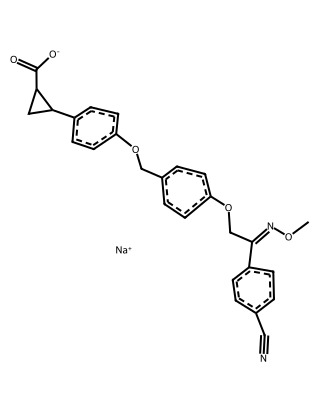 CON=C(COc1ccc(COc2ccc(C3CC3C(=O)[O-])cc2)cc1)c1ccc(C#N)cc1.[Na+]